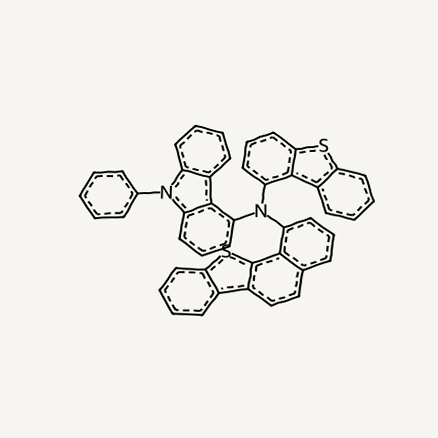 c1ccc(-n2c3ccccc3c3c(N(c4cccc5sc6ccccc6c45)c4cccc5ccc6c7ccccc7sc6c45)cccc32)cc1